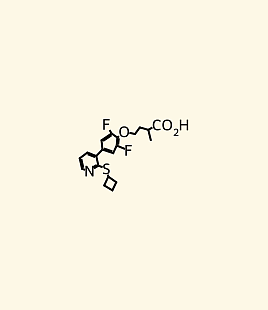 CC(CCOc1c(F)cc(-c2cccnc2SC2CCC2)cc1F)C(=O)O